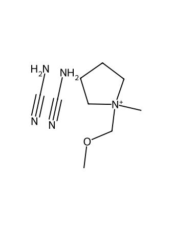 COC[N+]1(C)CCCC1.N#CN.N#CN